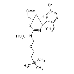 COC[C@]12C[C@H]1[C@@](C)(c1cc(Br)ccc1F)N=C(N(COCC[Si](C)(C)C)C(=O)O)S2